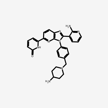 Nc1ncccc1-c1nc2ccc(-c3cccc(=O)[nH]3)nc2n1-c1ccc(CN2CCC(N)CC2)cc1